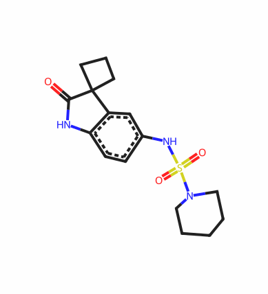 O=C1Nc2ccc(NS(=O)(=O)N3CCCCC3)cc2C12CCC2